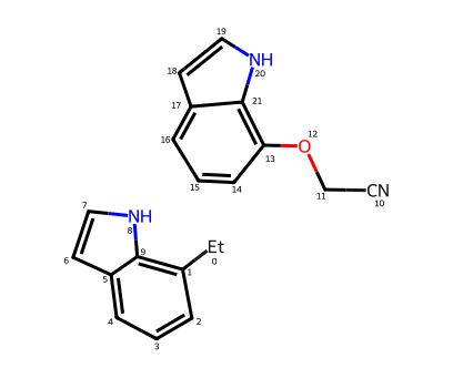 CCc1cccc2cc[nH]c12.N#CCOc1cccc2cc[nH]c12